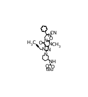 CC#CCn1c(N2CCCC(NC(=O)OC(C)(C)C)C2)nc2c1c(=O)n(CC(=NC#N)c1ccccc1)c(=O)n2C